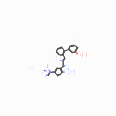 Cc1ncc(-c2ccc3[nH]nc(-c4cc5c(-c6cc(O)cc(F)c6)cccc5[nH]4)c3c2)n1C